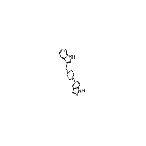 c1cnc2[nH]cc(CN3CCN(c4ccc5[nH]ncc5c4)CC3)c2c1